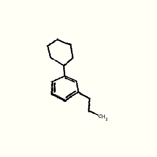 CCCc1cc[c]c(C2CCCCC2)c1